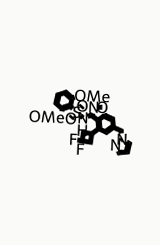 COc1cccc(OC)c1S(=O)(=O)Nc1noc2cc(Cn3cccn3)cc(C3CC(F)(F)C3)c12